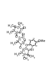 CCC1O[C@@H](OC2[C@@H](Oc3ccc(OC)cc3)OC(CC)[C@@H](O[C@@H]3OC(CC)[C@@H](C)[C@H](C)C3C)[C@@H]2C)C(C)[C@@H](C)[C@@H]1C